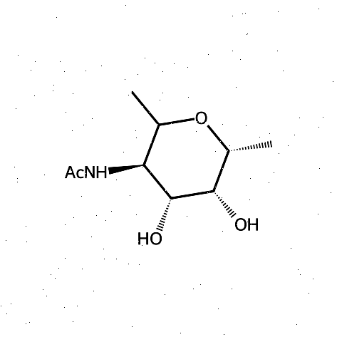 CC(=O)N[C@H]1C(C)O[C@H](C)[C@H](O)[C@@H]1O